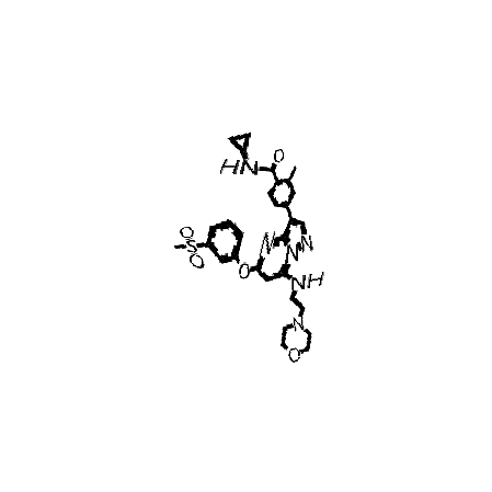 Cc1cc(-c2cnn3c(NCCN4CCOCC4)cc(Oc4cccc(S(C)(=O)=O)c4)nc23)ccc1C(=O)NC1CC1